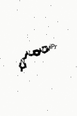 CC1CCN(CCCN(C)Cc2ccc(N3CCN(C(C)C)CC3)cc2)CC1